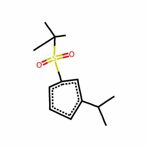 CC(C)c1cccc(S(=O)(=O)C(C)(C)C)c1